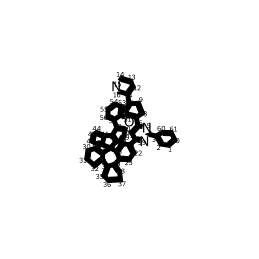 c1ccc(-c2nc(-c3ccc(-c4cccnc4)cc3)cc(-c3ccc4c(c3)C3(c5ccccc5-c5ccccc5-4)c4ccccc4-c4c3ccc3oc5ccccc5c43)n2)cc1